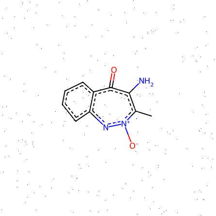 Cc1c(N)c(=O)c2ccccc2n[n+]1[O-]